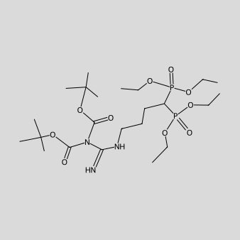 CCOP(=O)(OCC)C(CCCNC(=N)N(C(=O)OC(C)(C)C)C(=O)OC(C)(C)C)P(=O)(OCC)OCC